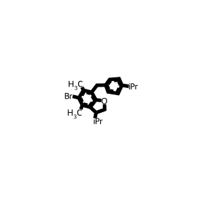 Cc1c(Br)c(C)c2c(c1Cc1ccc(C(C)C)cc1)OCC2C(C)C